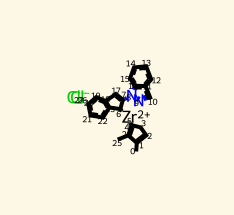 CC1=CC[C]([Zr+2][CH]2C(n3ncc4ccccc43)=Cc3ccccc32)=C1C.[Cl-].[Cl-]